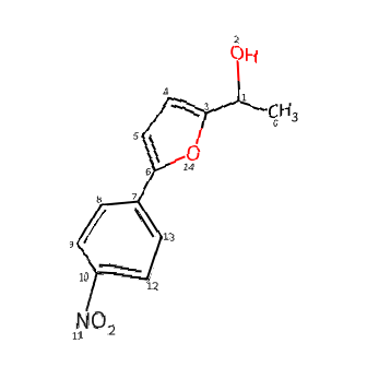 CC(O)c1ccc(-c2ccc([N+](=O)[O-])cc2)o1